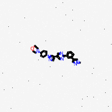 Cn1cc(-c2cccc(-c3ncc(-c4cnn([C@H]5CC[C@H](N6CCOCC6)CC5)c4)cn3)c2)cn1